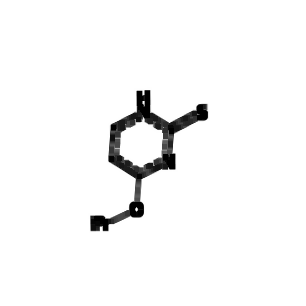 CC(C)Oc1cc[nH]c(=S)n1